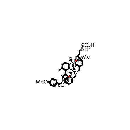 COc1ccc(CN(Cc2ccc(OC)cc2)S(=O)(=O)c2c(S(=O)(=O)NCCCNC(=O)O)ccc(I)c2-c2nnn(Cc3ccc(OC)cc3)n2)cc1